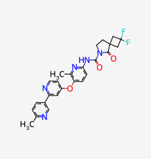 Cc1ccc(-c2cc(Oc3ccc(NC(=O)N4CCC5(CC(F)(F)C5)C4=O)nc3C)ccn2)cn1